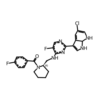 O=C(c1ccc(F)cc1)N1CCCC[C@@H]1CNc1nc(C2=CNC3NC=C(Cl)C=C23)ncc1F